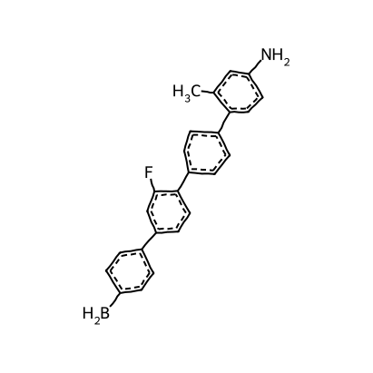 Bc1ccc(-c2ccc(-c3ccc(-c4ccc(N)cc4C)cc3)c(F)c2)cc1